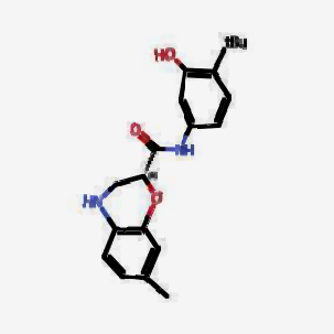 Cc1ccc2c(c1)O[C@@H](C(=O)Nc1ccc(C(C)(C)C)c(O)c1)CN2